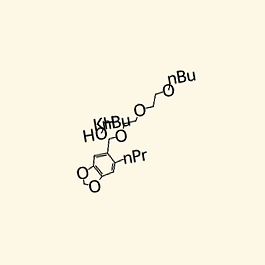 CCCCO.CCCCOCCOCCOCc1cc2c(cc1CCC)OCO2.[KH]